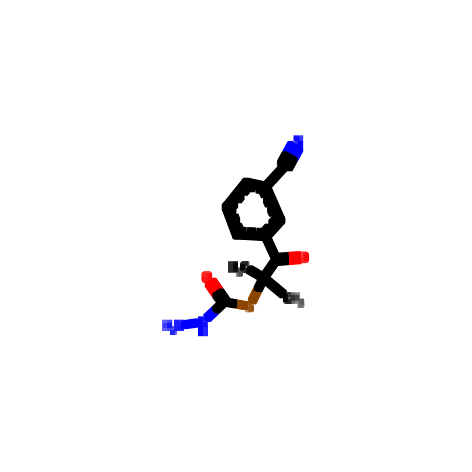 CC(C)(SC(=O)NN)C(=O)c1cccc(C#N)c1